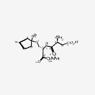 CCCC1(OC[C@H](NC(=O)[C@@H](N)CC(=O)O)C(=O)OC)CCCC1